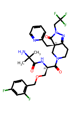 CC(C)(N)C(=O)N[C@H](COCc1ccc(F)cc1F)C(=O)N1CCC2=NN(CC(F)(F)F)C(=O)[C@@]2(Cc2ccccn2)C1